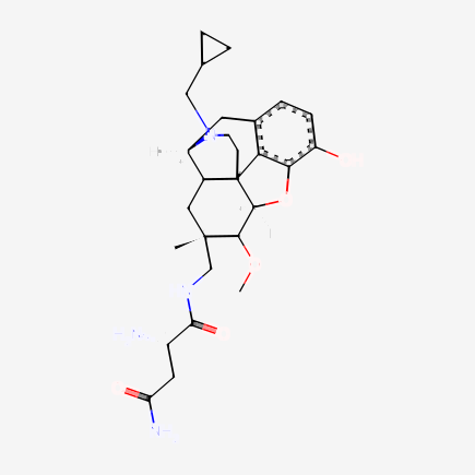 COC1[C@@H]2Oc3c(O)ccc4c3C23CCN(CC2CC2)[C@H](C4)C3C[C@@]1(C)CNC(=O)[C@@H](N)CC(N)=O